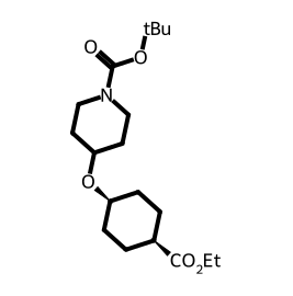 CCOC(=O)[C@H]1CC[C@@H](OC2CCN(C(=O)OC(C)(C)C)CC2)CC1